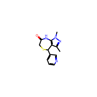 Cc1nn(C)c2c1C(c1cccnc1)SCC(=O)N2